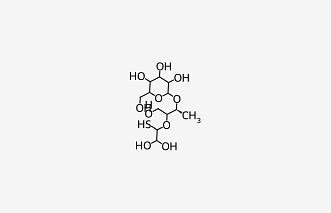 C[C@H](OC1OC(CO)C(O)C(O)C1O)C(CO)OC(S)C(O)O